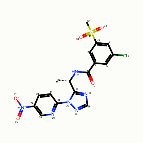 C[C@H](NC(=O)c1cc(Cl)cc(S(C)(=O)=O)c1)c1ncnn1-c1ccc([N+](=O)[O-])cn1